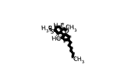 CCCCCCCc1cc(O)c2c(c1)OC(C)(C)C1CCC(SC)=CC21